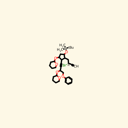 C#C[C@H](Br)CC1C(O[Si](C)(C)C(C)(C)C)CC(OC2CCCCO2)C1C#CC(COc1ccccc1)OC1CCCCO1